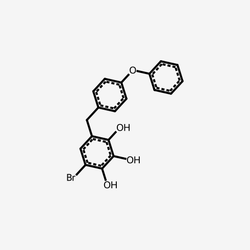 Oc1c(Br)cc(Cc2ccc(Oc3ccccc3)cc2)c(O)c1O